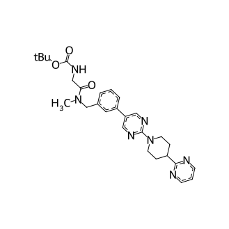 CN(Cc1cccc(-c2cnc(N3CCC(c4ncccn4)CC3)nc2)c1)C(=O)CNC(=O)OC(C)(C)C